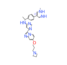 CN/C=C(\C=N)c1ccc(C(C)Nc2cc(-c3cnc4cc(OCCCN5CCC5)ccn34)ncn2)cc1